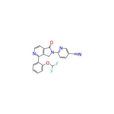 N#Cc1ccc(N2Cc3c(ccnc3-c3ccccc3OC(F)F)C2=O)nc1